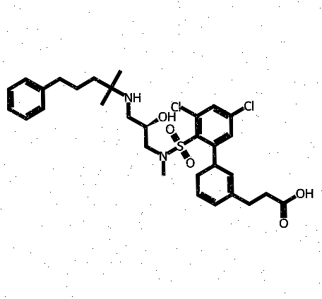 CN(C[C@H](O)CNC(C)(C)CCCc1ccccc1)S(=O)(=O)c1c(Cl)cc(Cl)cc1C1C=C(CCC(=O)O)C=CC1